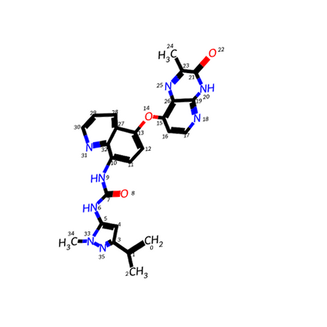 C=C(C)c1cc(NC(=O)Nc2ccc(Oc3ccnc4[nH]c(=O)c(C)nc34)c3cccnc23)n(C)n1